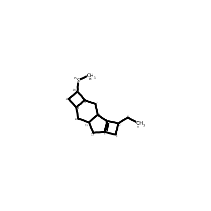 CCC1CC2=C1C1CC3C(CC1C2)CC3SC